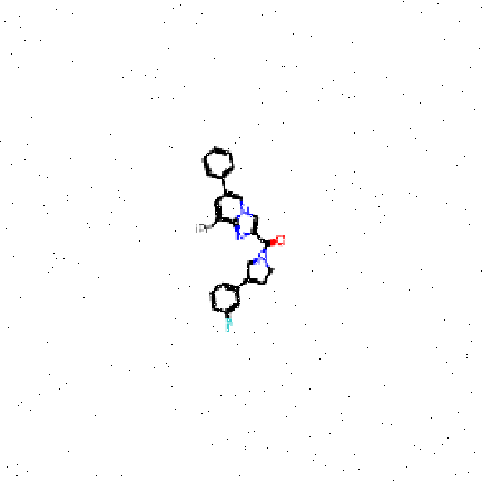 CC(C)c1cc(-c2ccccc2)cn2cc(C(=O)N3CCC(c4cccc(F)c4)C3)nc12